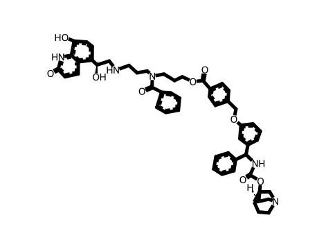 O=C(NC(c1ccccc1)c1cccc(OCc2ccc(C(=O)OCCCN(CCCNC[C@@H](O)c3ccc(O)c4[nH]c(=O)ccc34)C(=O)c3ccccc3)cc2)c1)O[C@H]1CN2CCC1CC2